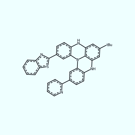 CC(C)(C)c1cc2c3c(c1)Nc1ccc(-c4nc5ccccc5s4)cc1B3c1cc(-c3ccccn3)ccc1N2